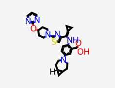 O=C(O)c1cc(N2CCC3C[C@@H]3CC2)ccc1NC(=C1CC1)c1csc(N2CCC(Oc3ncccn3)CC2)n1